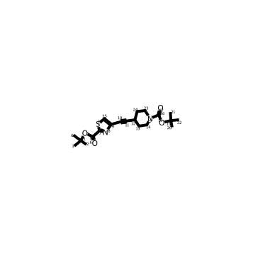 CC(C)(C)OC(=O)c1nc(C#CC2CCN(C(=O)OC(C)(C)C)CC2)cs1